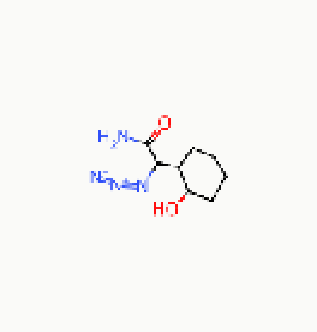 [N-]=[N+]=NC(C(N)=O)[C@H]1CCCC[C@H]1O